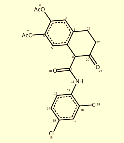 CC(=O)Oc1cc2c(cc1OC(C)=O)C(C(=O)Nc1ccc(Cl)cc1Cl)C(=O)CC2